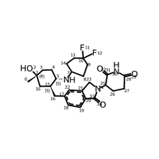 C[C@@]1(O)CC[C@H](NC2CCC(F)(F)CC2)[C@@H](Cc2ccc3c(c2)CN(C2CCC(=O)NC2=O)C3=O)C1